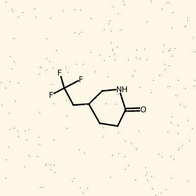 O=C1CCC(CC(F)(F)F)CN1